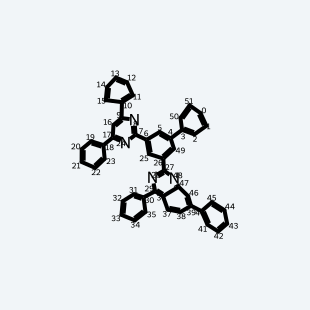 c1ccc(-c2cc(-c3nc(-c4ccccc4)cc(-c4ccccc4)n3)cc(-c3nc(-c4ccccc4)c4ccc(-c5ccccc5)cc4n3)c2)cc1